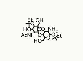 CCC(C)(C)OC1OC(CO)C(OC2OC(CO)C(OC(C)(C)CC)C(O)C2NC(C)=O)C(O)C1N